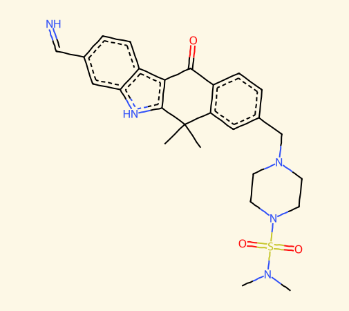 CN(C)S(=O)(=O)N1CCN(Cc2ccc3c(c2)C(C)(C)c2[nH]c4cc(C=N)ccc4c2C3=O)CC1